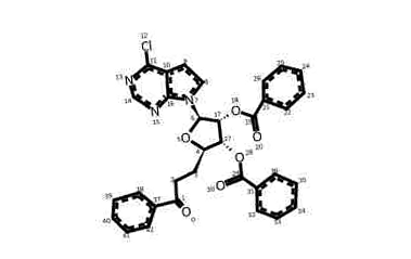 O=C(CC[C@H]1O[C@@H](n2ccc3c(Cl)ncnc32)[C@H](OC(=O)c2ccccc2)[C@@H]1OC(=O)c1ccccc1)c1ccccc1